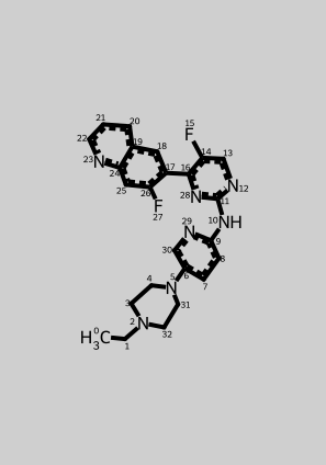 CCN1CCN(c2ccc(Nc3ncc(F)c(-c4cc5cccnc5cc4F)n3)nc2)CC1